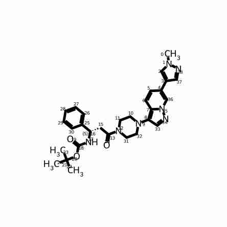 Cn1cc(-c2ccc3c(N4CCN(C(=O)C[C@H](NC(=O)OC(C)(C)C)c5ccccc5)CC4)cnn3c2)cn1